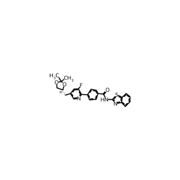 CC1(C)OC[C@@H](Cc2cnc(-c3ccc(C(=O)Nc4nc5ccccc5s4)cc3)c(F)c2)O1